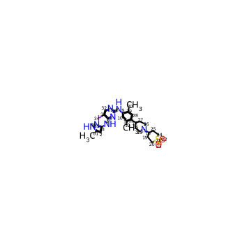 Cc1cc(Nc2nc(Nc3cc(C)c(C4CCN(C5CCS(=O)(=O)CC5)CC4)cc3C)ncc2I)n[nH]1